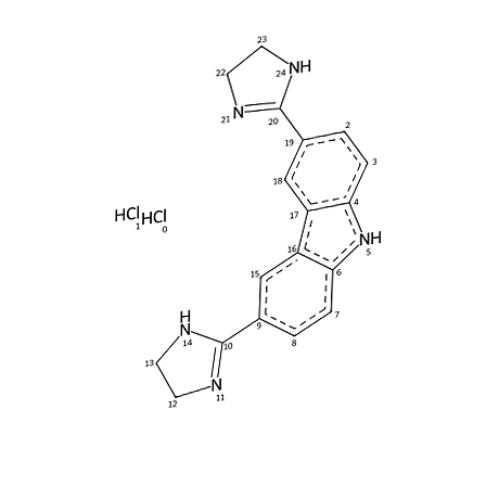 Cl.Cl.c1cc2[nH]c3ccc(C4=NCCN4)cc3c2cc1C1=NCCN1